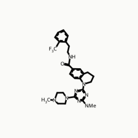 CNc1nc(N2CCN(C)CC2)nc(N2CCCc3cc(C(=O)NCCc4ccccc4C(F)(F)F)ccc32)n1